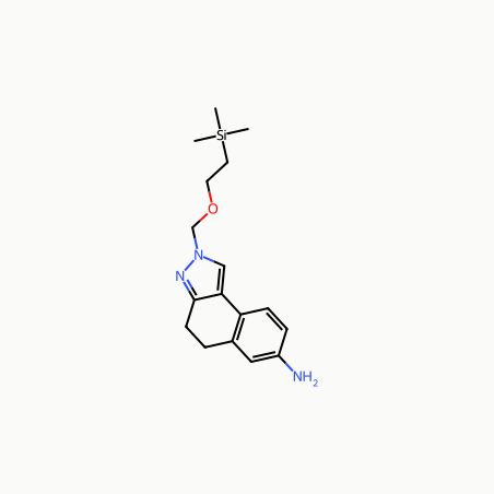 C[Si](C)(C)CCOCn1cc2c(n1)CCc1cc(N)ccc1-2